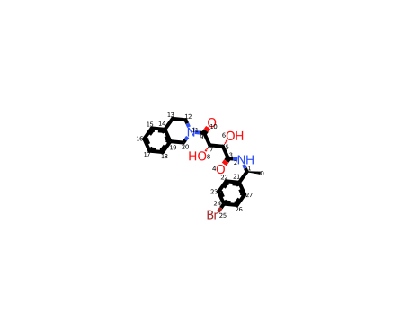 C[C@H](NC(=O)[C@@H](O)[C@H](O)C(=O)N1CCc2ccccc2C1)c1ccc(Br)cc1